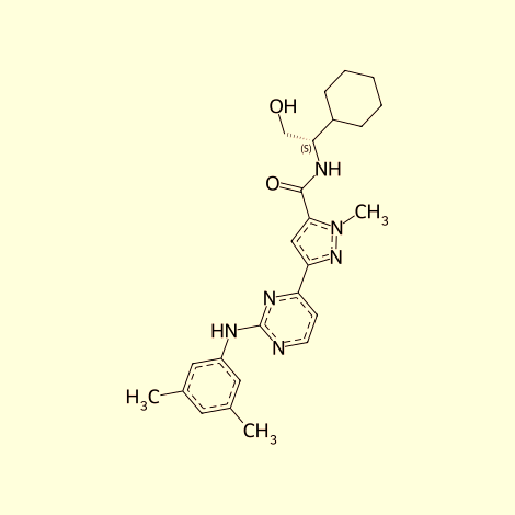 Cc1cc(C)cc(Nc2nccc(-c3cc(C(=O)N[C@H](CO)C4CCCCC4)n(C)n3)n2)c1